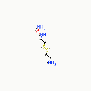 NCCSSCCNON